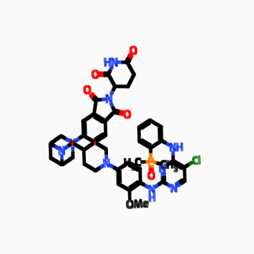 COc1cc(N2CCC(CN3C4CC3CN(c3ccc5c(c3)C(=O)N(C3CCC(=O)NC3=O)C5=O)C4)CC2)ccc1Nc1ncc(Cl)c(Nc2ccccc2P(C)(C)=O)n1